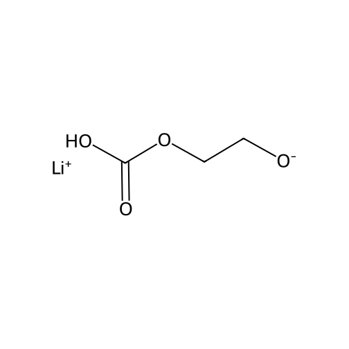 O=C(O)OCC[O-].[Li+]